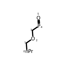 CCCCOCP=O